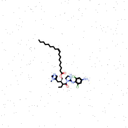 CCCCCCCC/C=C\CCCCCCCC(=O)OC[C@H](Cc1cncn1C)C(CC)C(=O)N1CCN/C1=N\c1c(Cl)cc(N)cc1Cl